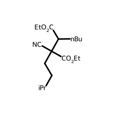 CCCCC(C(=O)OCC)C(C#N)(CCC(C)C)C(=O)OCC